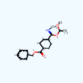 CCOC(C)O/C(=N\C)C1CCC(C(=O)OCc2ccccc2)CC1